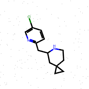 Clc1ccc(CC2CC3(CCN2)CC3)nc1